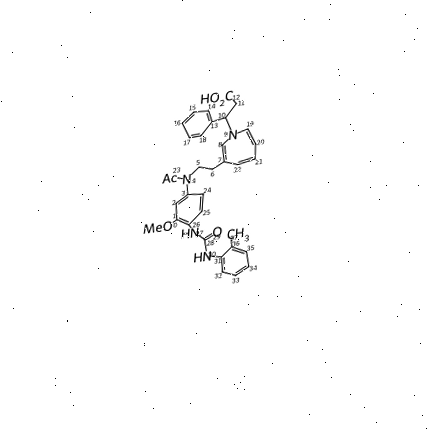 COc1cc(N(CCC2=CN(C(CC(=O)O)c3ccccc3)C=CC=C2)C(C)=O)ccc1NC(=O)Nc1ccccc1C